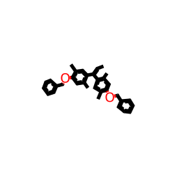 CC=C(c1cc(C)c(OCc2ccccc2)cc1C)c1cc(C)c(OCc2ccccc2)cc1C